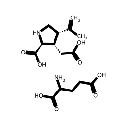 C=C(C)[C@H]1CN[C@H](C(=O)O)[C@H]1CC(=O)O.NC(CCC(=O)O)C(=O)O